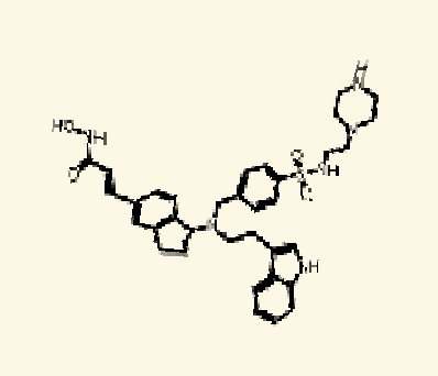 O=C(C=Cc1ccc2c(c1)CCC2N(CCc1c[nH]c2ccccc12)Cc1ccc(S(=O)(=O)NCCN2CCNCC2)cc1)NO